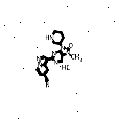 Cl.Cn1c(=O)n(C2CCCNC2)c2nc(-c3cnn4ccc(C#N)cc34)ncc21